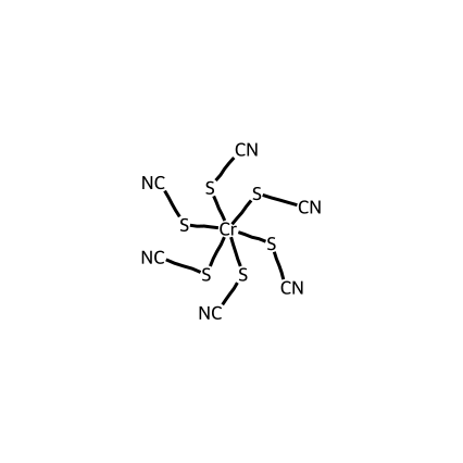 N#C[S][Cr]([S]C#N)([S]C#N)([S]C#N)([S]C#N)[S]C#N